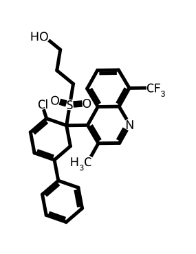 Cc1cnc2c(C(F)(F)F)cccc2c1C1(S(=O)(=O)CCCO)CC(c2ccccc2)=CC=C1Cl